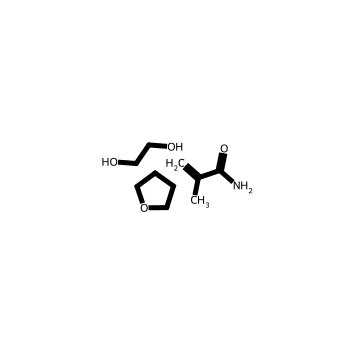 C1CCOC1.C=C(C)C(N)=O.OCCO